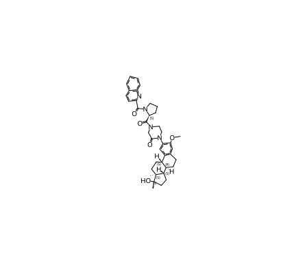 COc1cc2c(cc1N1CCN(C(=O)[C@@H]3CCCN3C(=O)c3ccc4ccccc4n3)CC1=O)[C@H]1CC[C@@]3(C)[C@@H](CC[C@]3(C)O)[C@@H]1CC2